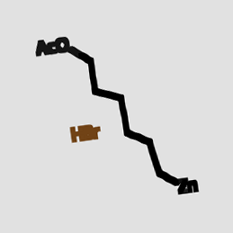 Br.CC(=O)OCCCCC[CH2][Zn]